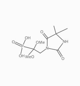 COC(CN1C(=O)NC(C)(C)C1=O)(OC)P(=O)(O)O